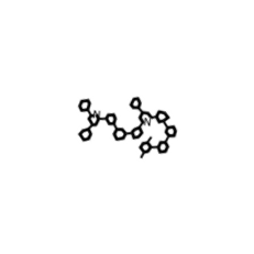 Cc1ccc(C)c(-c2cccc(-c3cccc(-c4cccc(-c5cc(-c6ccccc6)cc(-c6cccc(-c7cccc(-c8cccc(-c9cc(-c%10ccccc%10)cc(-c%10ccccc%10)n9)c8)c7)c6)n5)c4)c3)c2)c1